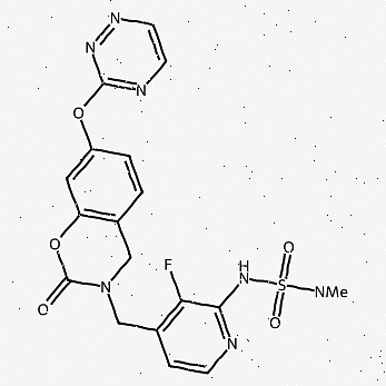 CNS(=O)(=O)Nc1nccc(CN2Cc3ccc(Oc4nccnn4)cc3OC2=O)c1F